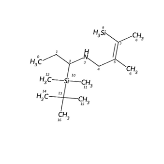 CCC(NCC(C)=C(C)[SiH3])[Si](C)(C)C(C)(C)C